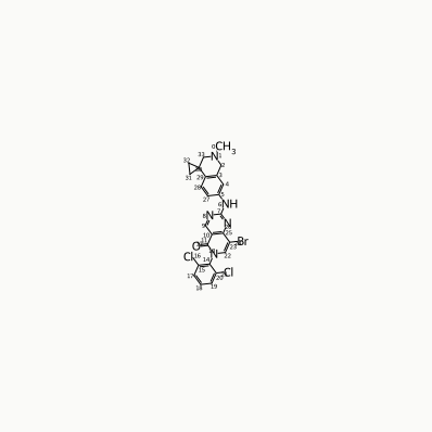 CN1Cc2cc(Nc3ncc4c(=O)n(-c5c(Cl)cccc5Cl)cc(Br)c4n3)ccc2C2(CC2)C1